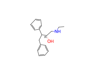 CCNC[C@H](O)C(Cc1ccccc1)c1ccccc1